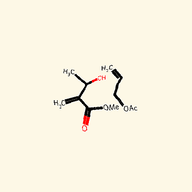 C=C(C(=O)OC)C(C)O.C=CCOC(C)=O